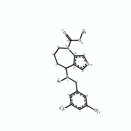 CC(=O)N(Cc1cc(C(F)(F)F)cc(C(F)(F)F)c1)C1CCCN(C(=O)OC(C)C)c2cscc21